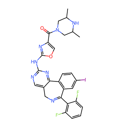 CC1CN(C(=O)c2coc(Nc3ncc4c(n3)-c3ccc(I)cc3C(c3c(F)cccc3F)=NC4)n2)CC(C)N1